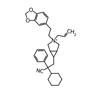 C=CC[N+]1(CCc2ccc3c(c2)OCO3)CC2C(CC(C#N)(c3ccccc3)C3CCCCC3)C2C1